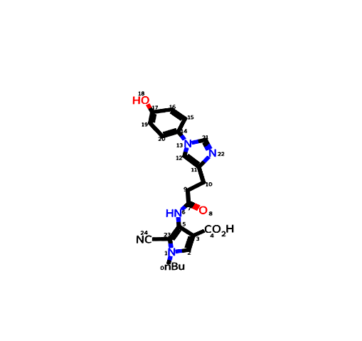 CCCCn1cc(C(=O)O)c(NC(=O)CCc2cn(-c3ccc(O)cc3)cn2)c1C#N